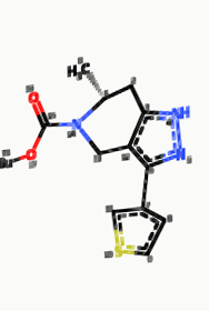 C[C@@H]1Cc2[nH]nc(-c3ccsc3)c2CN1C(=O)OC(C)(C)C